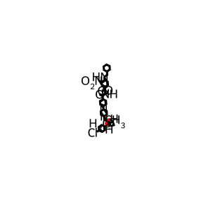 CC1(C)[C@@H]2CC(CN3CCN(c4ccc(C(=O)NS(=O)(=O)c5ccc(NCC6CCCCC6)c([N+](=O)[O-])c5)cc4)CC3)=C(c3ccc(Cl)cc3)[C@@H]1C2